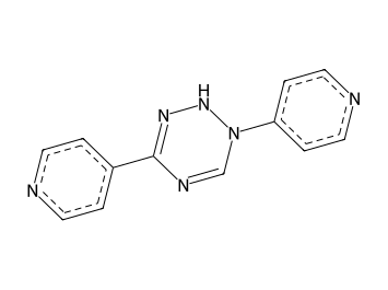 C1=NC(c2ccncc2)=NNN1c1ccncc1